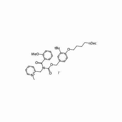 CCCCCCCCCCCCCCOc1ccc(COC(=O)N(Cc2cccc[n+]2C)C(=O)c2ccccc2OC)cc1C(C)(C)C.[I-]